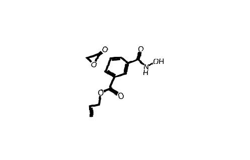 C=CCOC(=O)c1cccc(C(=O)NO)c1.O=C1CO1